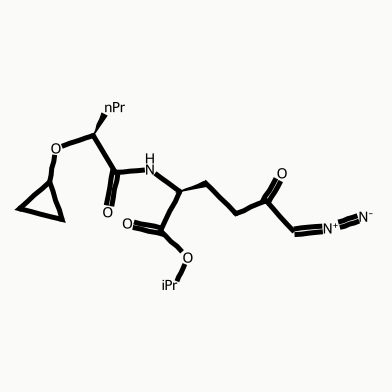 CCC[C@H](OC1CC1)C(=O)N[C@@H](CCC(=O)C=[N+]=[N-])C(=O)OC(C)C